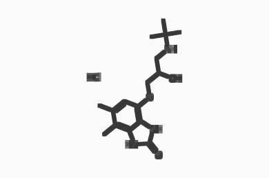 Cc1cc(OCC(O)CNC(C)(C)C)c2[nH]c(=O)[nH]c2c1C.Cl